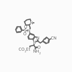 CCOC(=O)CC(C(N)=O)n1c(Cc2ccc(C#N)cc2)nc2cc(N(CC3CCCCN3C)S(=O)(=O)c3ccccc3)ccc21